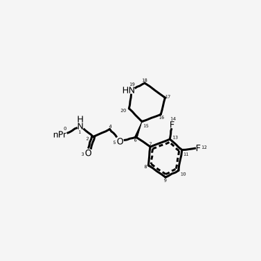 CCCNC(=O)COC(c1cccc(F)c1F)[C@@H]1CCCNC1